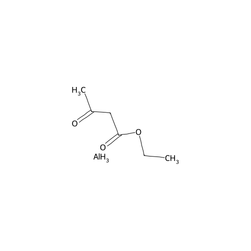 CCOC(=O)CC(C)=O.[AlH3]